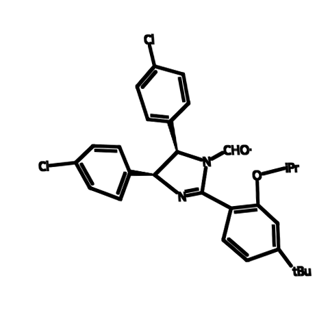 CC(C)Oc1cc(C(C)(C)C)ccc1C1=N[C@@H](c2ccc(Cl)cc2)[C@@H](c2ccc(Cl)cc2)N1[C]=O